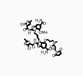 CCc1nc(C)sc1C(=O)Nc1nc2cc(C(N)O)cc(OCCCN(C)C(=O)CCN3C(=O)C=CC3=O)c2n1C/C=C/Cn1c(NC(=O)c2cc(C)nn2CC)nc2cc(C(N)=O)cc(OC)c21